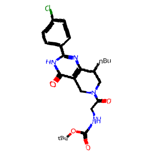 CCCCC1CN(C(=O)CNC(=O)OC(C)(C)C)Cc2c1nc(-c1ccc(Cl)cc1)[nH]c2=O